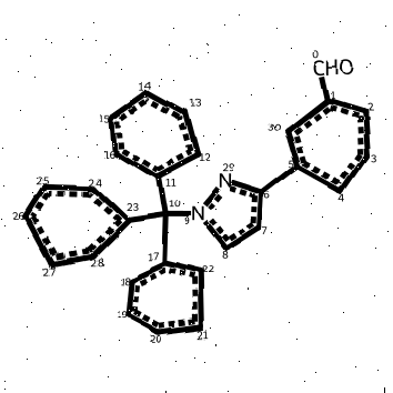 O=Cc1cccc(-c2ccn(C(c3ccccc3)(c3ccccc3)c3ccccc3)n2)c1